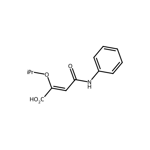 CC(C)OC(=CC(=O)Nc1ccccc1)C(=O)O